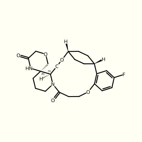 O=C1COC[C@]2(CCCN3C(=O)CCOc4ccc(F)cc4[C@H]4CC[C@H](CC4)OC[C@@H]32)N1